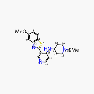 COc1ccc2sc(-c3cnccc3NC3CCN(SC)CC3)nc2c1